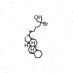 C[C@H](CCCC(C)(Br)CO)[C@H]1CC[C@H]2[C@@H]3CC=C4CCCC[C@]4(C)[C@H]3CC[C@]12C